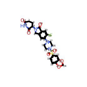 O=C1CCC(N2Cc3cc(N4CCN(S(=O)(=O)c5ccc6c(c5)OCO6)CC4)c(F)cc3C2=O)C(=O)N1